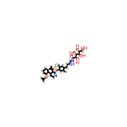 Cc1cc(COC2(c3cnccc3-c3ccccc3OC3CC3)CC2)c(Cl)cc1CCCCNC(=O)[C@H](O)[C@H](O)[C@@H](O)[C@H](O)CO